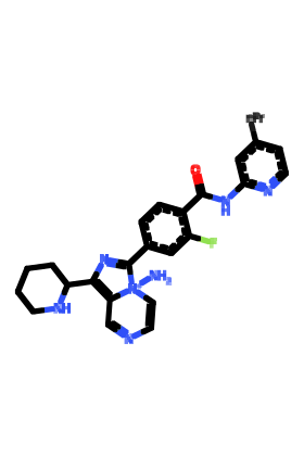 CCCc1ccnc(NC(=O)c2ccc(C3=NC(C4CCCCN4)=C4C=NC=C[N+]34N)cc2F)c1